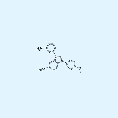 COc1ccc(-n2cc(-c3cccc(N)n3)c3cc(C#N)ccc32)cc1